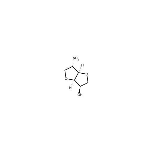 N[C@H]1CO[C@H]2[C@@H]1OC[C@H]2O